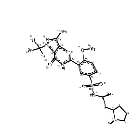 [2H]C(CC1CCCN1C)NS(=O)(=O)c1ccc(OCCC)c(-c2nc3c(CCC)nn(C([2H])([2H])[2H])c3c(=O)[nH]2)c1